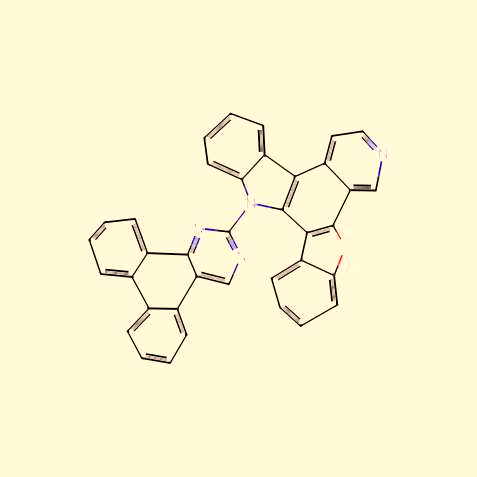 c1ccc2c(c1)oc1c3cnccc3c3c4ccccc4n(-c4ncc5c6ccccc6c6ccccc6c5n4)c3c21